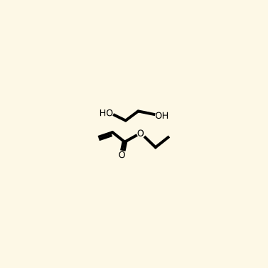 C=CC(=O)OCC.OCCO